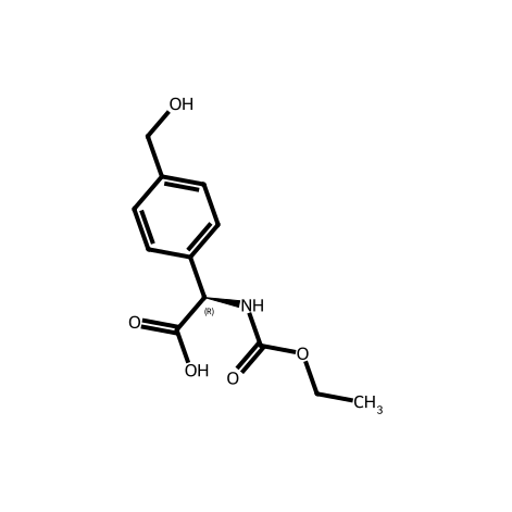 CCOC(=O)N[C@@H](C(=O)O)c1ccc(CO)cc1